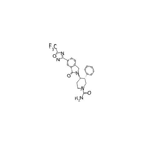 NC(=O)N1CC[C@@H](N2Cc3ccc(-c4noc(C(F)(F)F)n4)cc3C2=O)[C@H](c2ccccc2)C1